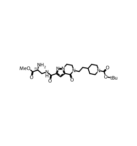 COC(=O)[C@@H](N)CNC(=O)c1cc2n(n1)CCN(CCC1CCN(C(=O)OC(C)(C)C)CC1)C2=O